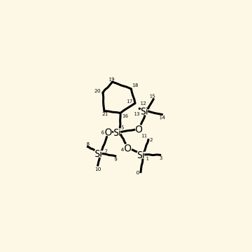 C[Si](C)(C)O[Si](O[Si](C)(C)C)(O[Si](C)(C)C)C1CCCCC1